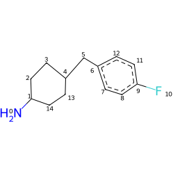 NC1CCC(Cc2ccc(F)cc2)CC1